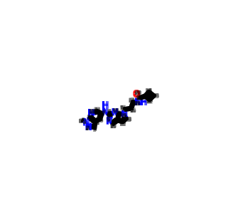 Cn1ncc2cc(Nc3ncc4ccn(CCCNC(=O)C5CCC5)c4n3)cnc21